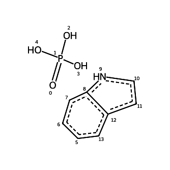 O=P(O)(O)O.c1ccc2[nH]ccc2c1